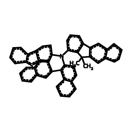 CC1(C)c2cc3ccccc3cc2-c2cccc(N(c3ccc4c(c3)sc3ccccc34)c3ccc4ccccc4c3-c3ccc4ccccc4c3)c21